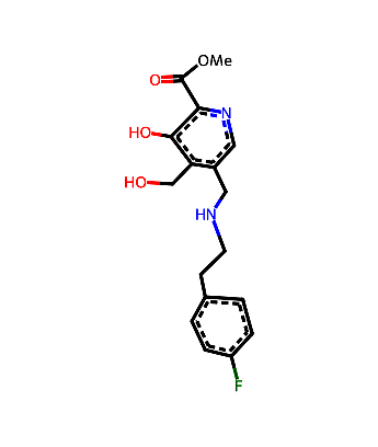 COC(=O)c1ncc(CNCCc2ccc(F)cc2)c(CO)c1O